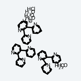 Cl.O.O.O.O.O.O.c1ccc(-c2cccnc2-c2ccccn2)nc1.c1ccc(-c2cccnc2-c2ccccn2)nc1.c1ccc(-c2cccnc2-c2ccccn2)nc1